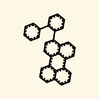 c1ccc(-c2ccccc2-c2ccc3c4cccc5cccc(c6cccc2c63)c54)cc1